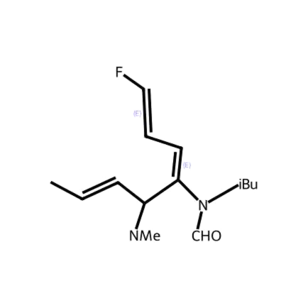 CC=CC(NC)/C(=C\C=C\F)N(C=O)C(C)CC